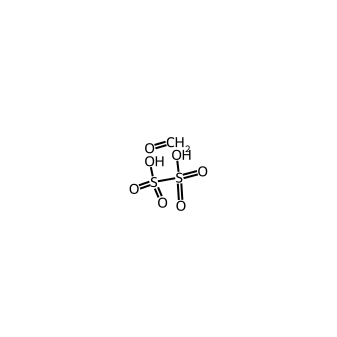 C=O.O=S(=O)(O)S(=O)(=O)O